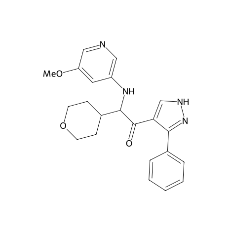 COc1cncc(NC(C(=O)c2c[nH]nc2-c2ccccc2)C2CCOCC2)c1